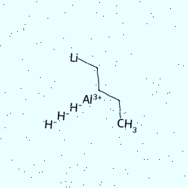 [Al+3].[H-].[H-].[H-].[Li][CH2]CCC